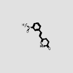 C[S+]([O-])c1cccc(C=CC2=NNC(=O)CC2)c1